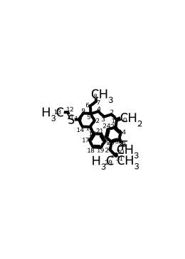 C=C(CCCC1(CCC)CC(SCC)CC(c2ccccc2)C1)c1ccc(CC(C)(C)C)c(F)c1